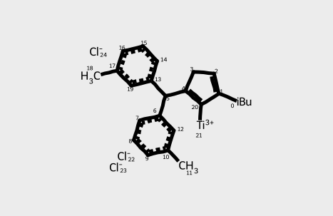 CCC(C)C1=CCC(C(c2cccc(C)c2)c2cccc(C)c2)=[C]1[Ti+3].[Cl-].[Cl-].[Cl-]